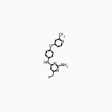 Nc1nc(CI)cc(Nc2ccc(Oc3ccnc(C(F)(F)F)c3)cc2)n1